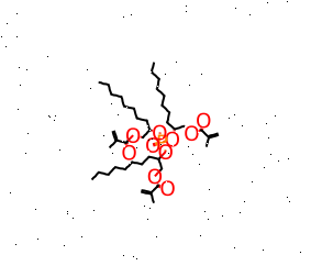 C=C(C)C(=O)OCC(CCCCCCCC)OP(=O)(OC(CCCCCCCC)COC(=O)C(=C)C)OC(CCCCCCCC)COC(=O)C(=C)C